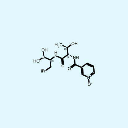 CC(C)C[C@H](NC(=O)[C@@H](NC(=O)c1ccc[n+]([O-])c1)[C@@H](C)O)B(O)O